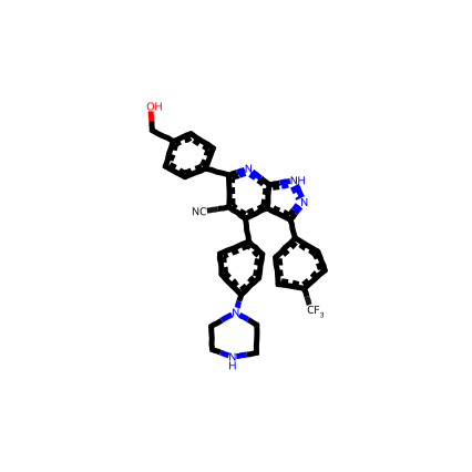 N#Cc1c(-c2ccc(CO)cc2)nc2[nH]nc(-c3ccc(C(F)(F)F)cc3)c2c1-c1ccc(N2CCNCC2)cc1